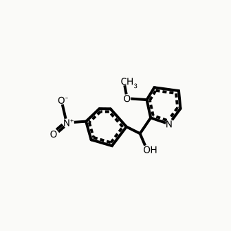 COc1cccnc1C(O)c1ccc([N+](=O)[O-])cc1